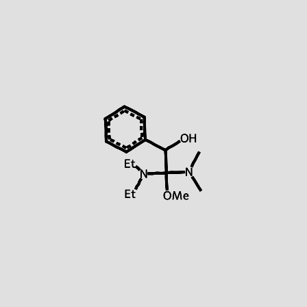 CCN(CC)C(OC)(C(O)c1ccccc1)N(C)C